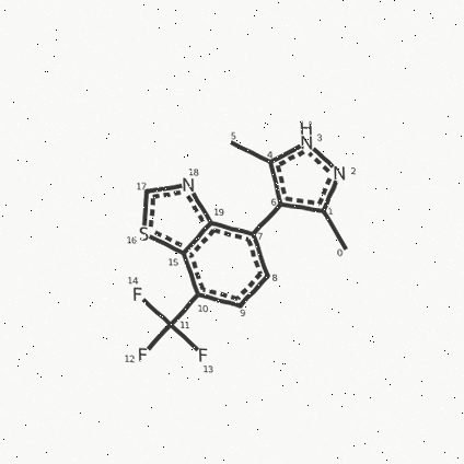 Cc1n[nH]c(C)c1-c1ccc(C(F)(F)F)c2scnc12